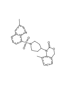 Cc1cnc2c(S(=O)(=O)N3CCC(N4C(=O)OCc5cccc(C)c54)CC3)cccc2c1